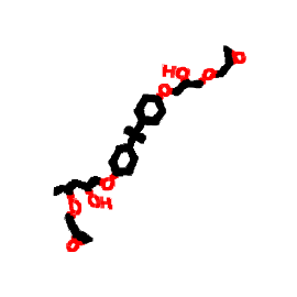 CC(CC(O)COC1CCC(C(C)(C)C2CCC(OCC(O)COCC3CO3)CC2)CC1)OCC1CO1